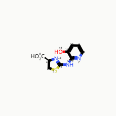 O=C(O)[C@@H]1CSC(Nc2ncccc2O)=N1